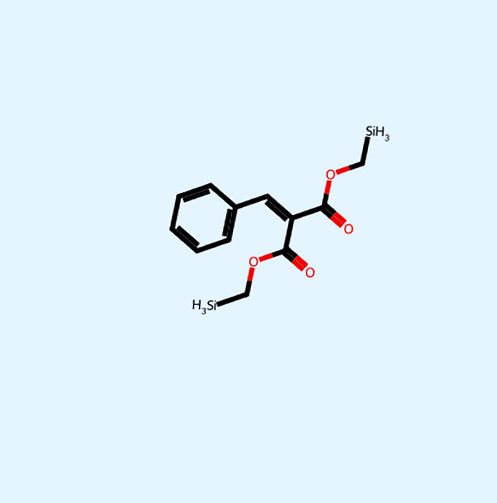 O=C(OC[SiH3])C(=Cc1ccccc1)C(=O)OC[SiH3]